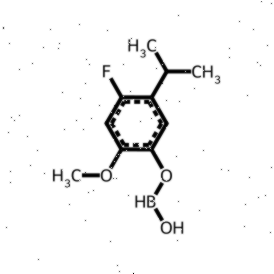 COc1cc(F)c(C(C)C)cc1OBO